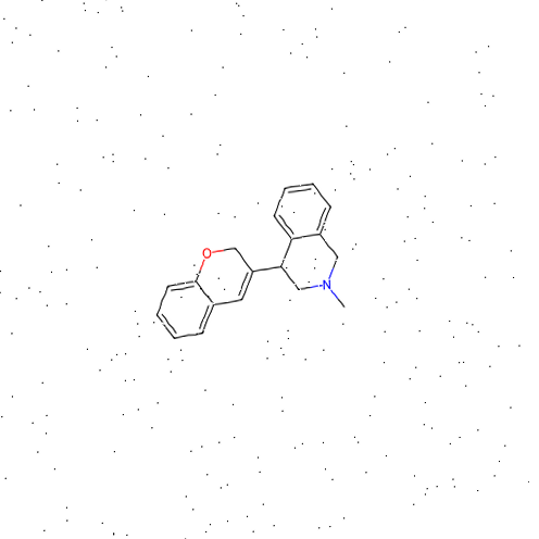 CN1Cc2ccccc2C(C2=Cc3ccccc3OC2)C1